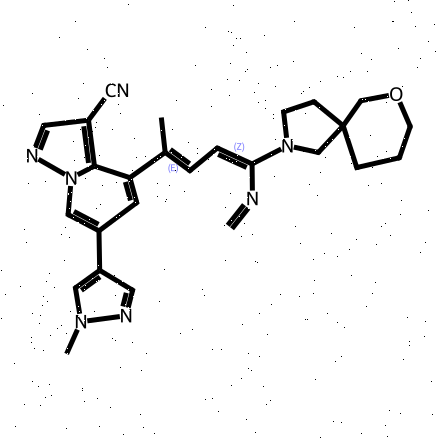 C=N/C(=C\C=C(/C)c1cc(-c2cnn(C)c2)cn2ncc(C#N)c12)N1CCC2(CCCOC2)C1